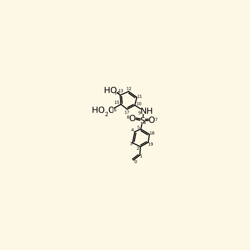 C=Cc1ccc(S(=O)(=O)Nc2ccc(O)c(C(=O)O)c2)cc1